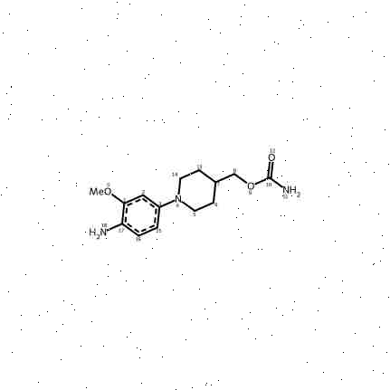 COc1cc(N2CCC(COC(N)=O)CC2)ccc1N